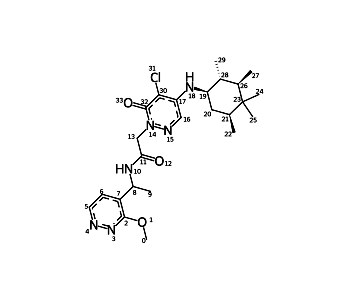 COc1nnccc1C(C)NC(=O)Cn1ncc(N[C@@H]2C[C@H](C)C(C)(C)[C@H](C)[C@H]2C)c(Cl)c1=O